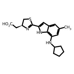 Cc1cc(NC2CCCC2)c2[nH]c(C3=N[C@@H](CC(=O)O)CS3)cc2c1